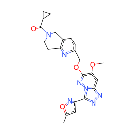 COc1cc2nnc(-c3cc(C)on3)n2nc1OCc1ccc2c(n1)CCN(C(=O)C1CC1)C2